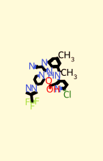 Cc1cc([C@@H](C)Nc2ccc(Cl)nc2C(=O)O)c2nc(N3CCC(n4cc(C(F)(F)F)cn4)CC3)c(C#N)nc2c1